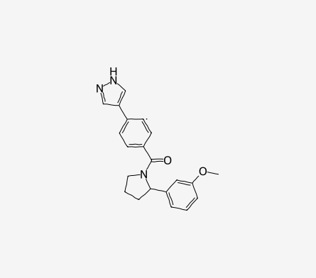 COc1cccc(C2CCCN2C(=O)c2c[c]c(-c3cn[nH]c3)cc2)c1